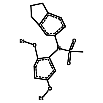 CCOc1ccc(OCC)c(N(c2ccc3c(c2)CCC3)S(C)(=O)=O)c1